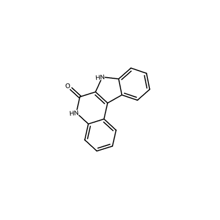 O=c1[nH]c2ccccc2c2c1[nH]c1ccccc12